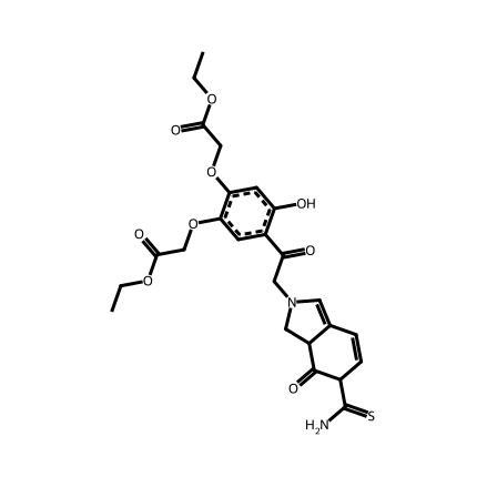 CCOC(=O)COc1cc(O)c(C(=O)CN2C=C3C=CC(C(N)=S)C(=O)C3C2)cc1OCC(=O)OCC